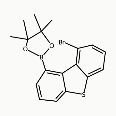 CC1(C)OB(c2cccc3sc4cccc(Br)c4c23)OC1(C)C